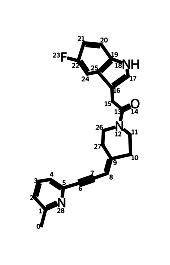 Cc1cccc(C#CC=C2CCN(C(=O)Cc3c[nH]c4ccc(F)cc34)CC2)n1